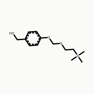 C[Si](C)(C)CCOCOc1ccc(CO)cc1